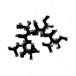 CC[C@H](C)[C@H](NC(=O)[C@H]([C@@H](C)CC)N(C)C)C(=O)N[C@H](C(=O)N[C@@H](CC(C)C)C(=O)[C@@]1(C)CO1)[C@@H](C)O